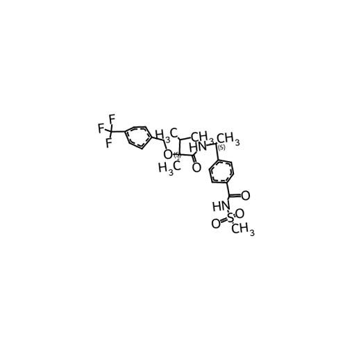 CC(C)[C@](C)(OCc1ccc(C(F)(F)F)cc1)C(=O)N[C@@H](C)c1ccc(C(=O)NS(C)(=O)=O)cc1